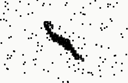 CCCCCCCCc1ccc(-c2ccc(C(=O)Oc3ccc(CCCCCC)cc3F)cc2)nc1